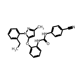 CCc1ccccc1-n1nc(C)cc1Oc1ccccc1NC(=O)Nc1ccc(C#N)cc1